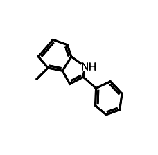 Cc1cccc2[nH]c(-c3ccccc3)cc12